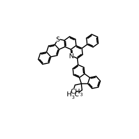 CCC1(CC)c2ccccc2-c2cc(-c3cc(-c4ccccc4)c4ccc5sc6cc7ccccc7cc6c5c4n3)ccc21